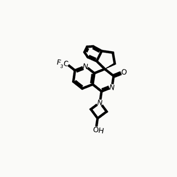 O=C1N=C(N2CC(O)C2)c2ccc(C(F)(F)F)nc2[C@@]12CCc1ccccc12